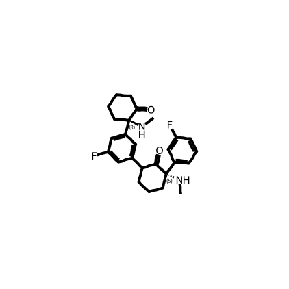 CN[C@@]1(c2cc(F)cc(C3CCC[C@](NC)(c4cccc(F)c4)C3=O)c2)CCCCC1=O